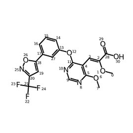 COC(=Cc1c(OC)ncnc1Oc1cccc(-c2cc(C(F)(F)F)no2)c1)C(=O)O